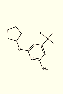 Nc1nc(OC2CCNC2)cc(C(F)(F)F)n1